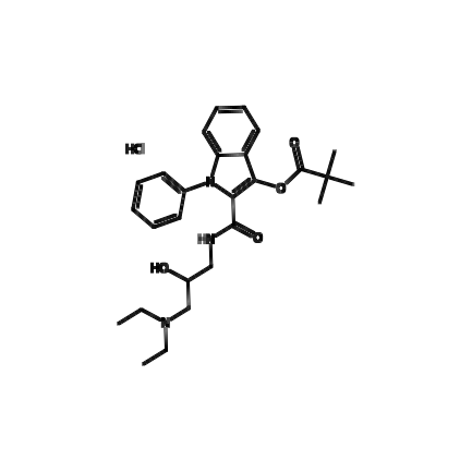 CCN(CC)CC(O)CNC(=O)c1c(OC(=O)C(C)(C)C)c2ccccc2n1-c1ccccc1.Cl